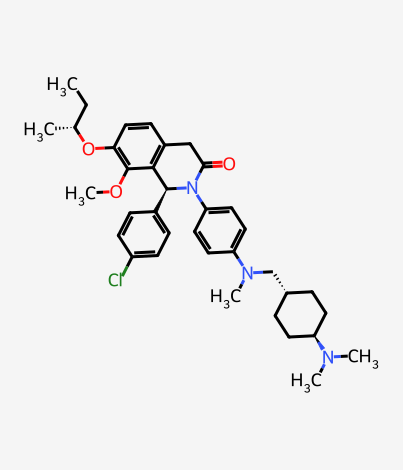 CC[C@@H](C)Oc1ccc2c(c1OC)[C@H](c1ccc(Cl)cc1)N(c1ccc(N(C)C[C@H]3CC[C@H](N(C)C)CC3)cc1)C(=O)C2